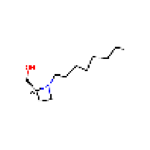 CCCCCCCCN1CC[C@H]1CO